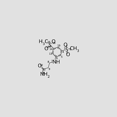 CS(=O)(=O)c1cc(NCCC(N)=O)cc(S(C)(=O)=O)c1